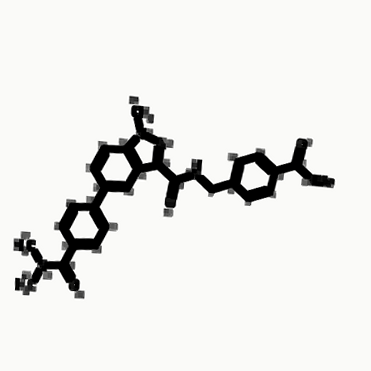 CNC(=O)c1ccc(CNC(=O)c2nn(C)c3ccc(-c4ccc(C(=O)N(C)C)cc4)cc23)cc1